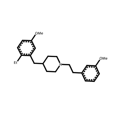 CCc1ccc(OC)cc1CC1CCN(CCc2cccc(OC)c2)CC1